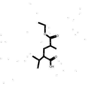 CCOC(=O)C(C)CC(C(=O)O)C(C)C